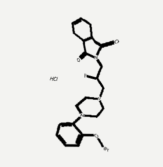 CC(C)Oc1ccccc1N1CCN(CC(F)CN2C(=O)C3CC=CCC3C2=O)CC1.Cl